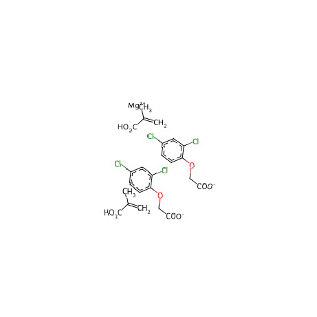 C=C(C)C(=O)O.C=C(C)C(=O)O.O=C([O-])COc1ccc(Cl)cc1Cl.O=C([O-])COc1ccc(Cl)cc1Cl.[Mg+2]